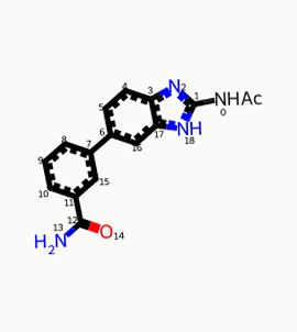 CC(=O)Nc1nc2ccc(-c3cccc(C(N)=O)c3)cc2[nH]1